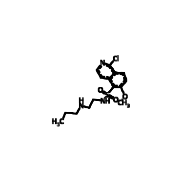 CCCNCCNS(=O)(=O)c1c(OC)ccc2c(Cl)nccc12